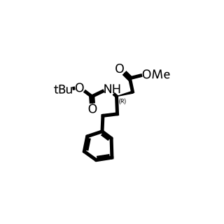 COC(=O)C[C@@H](CCc1ccccc1)NC(=O)OC(C)(C)C